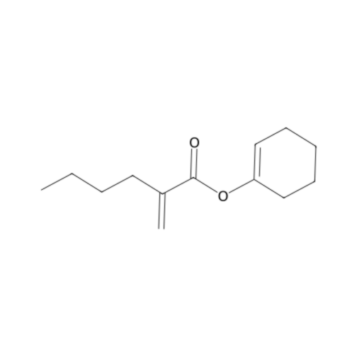 C=C(CCCC)C(=O)OC1=CCCCC1